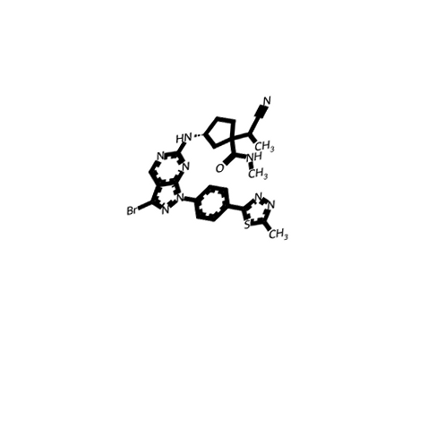 CNC(=O)C1(C(C)C#N)CC[C@@H](Nc2ncc3c(Br)nn(-c4ccc(-c5nnc(C)s5)cc4)c3n2)C1